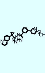 COc1ccc(-c2cccc(-c3cnc4nnc(C5(c6ccc7ncccc7c6)CC5)n4n3)c2)cn1